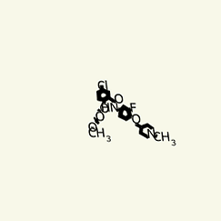 COCCOCOc1ccc(Cl)cc1C(=O)Nc1ccc(OCC2CCN(C)CC2)c(F)c1